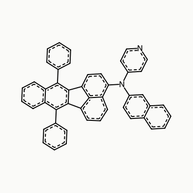 c1ccc(-c2c3c(c(-c4ccccc4)c4ccccc24)-c2ccc(N(c4ccncc4)c4ccc5ccccc5c4)c4cccc-3c24)cc1